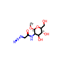 CC(C)O[C@H]1OC(CO)[C@H](O)C(O)C1NC(=O)CN=[N+]=[N-]